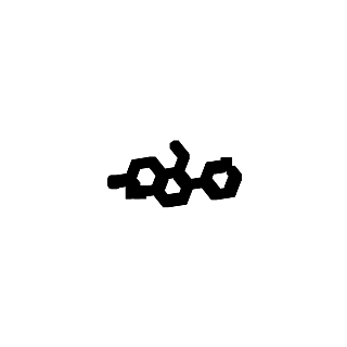 CCc1c(-c2cccnc2)ccc2c1CCC(=O)N2